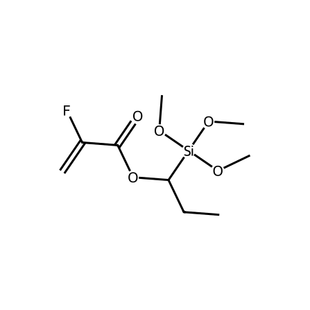 C=C(F)C(=O)OC(CC)[Si](OC)(OC)OC